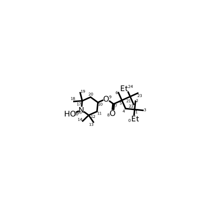 CCC(C)(C)CC(C)(C(=O)OC1CC(C)(C)N(O)C(C)(C)C1)C(C)(C)CC